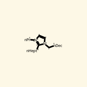 CCCCCCCCCCCn1cc[n+](CCC)c1CCCCCCC